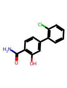 NC(=O)c1ccc(-c2ccc[c]c2Cl)cc1O